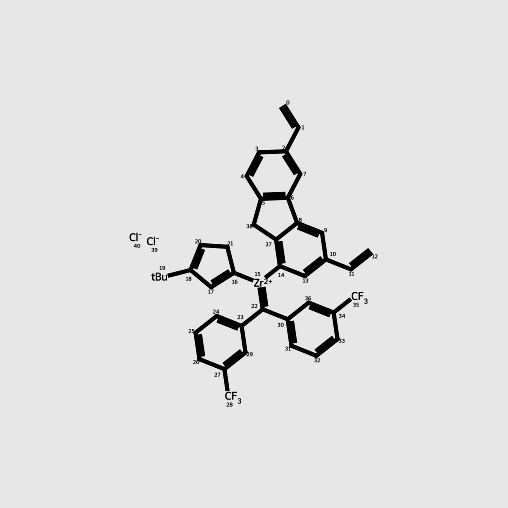 C=Cc1ccc2c(c1)-c1cc(C=C)c[c]([Zr+2]([C]3=CC(C(C)(C)C)=CC3)=[C](c3cccc(C(F)(F)F)c3)c3cccc(C(F)(F)F)c3)c1C2.[Cl-].[Cl-]